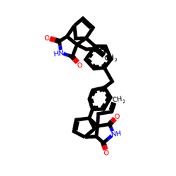 C=CCC12C(=O)NC(=O)C1C1C=CC2(c2ccc(Cc3ccc(C45C=CC(C4)C4C(=O)NC(=O)C45CC=C)cc3)cc2)C1